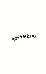 O=[C]OCCC=CCCc1ccccc1